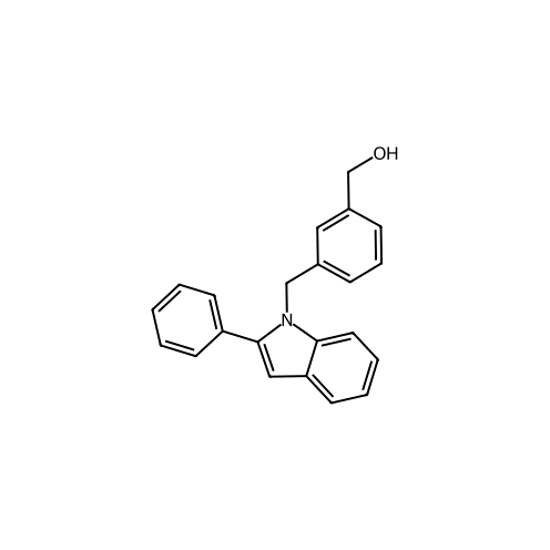 OCc1cccc(Cn2c(-c3ccccc3)cc3ccccc32)c1